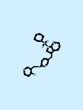 O=S(=O)(c1ccccc1)n1cc(Cc2ccc(NCc3cnccc3Cl)nc2)c2cccnc21